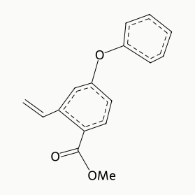 C=Cc1cc(Oc2ccccc2)ccc1C(=O)OC